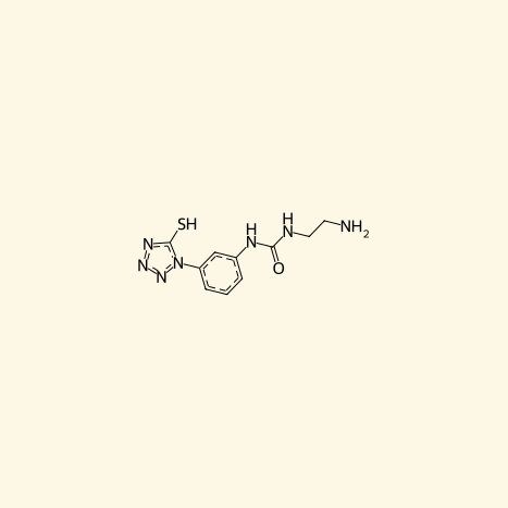 NCCNC(=O)Nc1cccc(-n2nnnc2S)c1